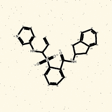 C=CC(Nc1cccnc1)S(=O)(=O)c1ccccc1C(=O)NC1Cc2ccccc2C1